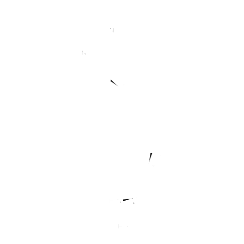 CC1([C@H]2CC[C@](N)(CO)C2)C=C2CC[C@H](CCc3ncccn3)CC2=CC1